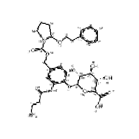 NCCC(=O)Nc1cc(COC(=O)N2CCCC2OCCc2ccccc2)ccc1OC1O[C@H](C(=O)O)[C@@H](O)[C@H](O)[C@H]1O